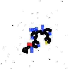 OC(Nc1cncc(-c2cc3c(-c4cc5c(-c6ccsc6)nccc5[nH]4)n[nH]c3cn2)c1)C1CCC1